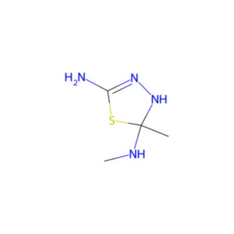 CNC1(C)NN=C(N)S1